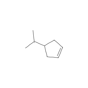 C[C](C)C1CC=CC1